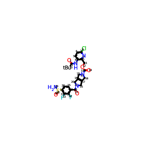 CC(C)(C)C(=O)Nc1ccc(Cl)nc1COC(=O)N1CC2=C(C1)CN(C(=O)c1ccc([S+](N)[O-])c(F)c1F)C2